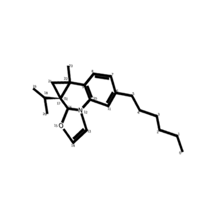 CCCCCCc1ccc2c(c1)N1C=COC1[C@]1(C(C)C)CC21C